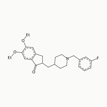 CCOc1cc2c(cc1OCC)C(=O)C(CC1CCN(Cc3cccc(F)c3)CC1)C2